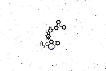 C=C1/C=C\C=C/CN(c2ccccc2)c2ccc(-c3cc4c(cn3)sc3cnc(-c5ccc6c(c5)c5ccccc5n6-c5ccccc5)cc34)cc21